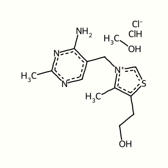 CO.Cc1ncc(C[n+]2csc(CCO)c2C)c(N)n1.Cl.[Cl-]